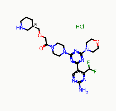 Cl.Nc1ncc(-c2nc(N3CCOCC3)nc(N3CCN(C(=O)COC[C@@H]4CCCNC4)CC3)n2)c(C(F)F)n1